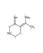 CN/C(C)=C1/CCNCC1=N